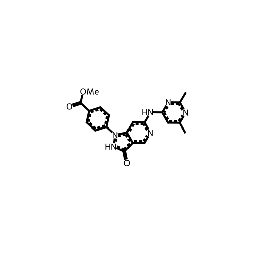 COC(=O)c1ccc(-n2[nH]c(=O)c3cnc(Nc4cc(C)nc(C)n4)cc32)cc1